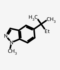 CCC(C)(C)c1ccc2c(cnn2C)c1